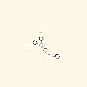 O=C(OCc1ccccc1)N1CCC(c2nc(-c3cccc(C(F)(F)F)c3)c(-c3cc[nH]c(=O)c3)[nH]2)CC1